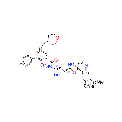 COc1cc2nccc(O/C(N)=C/C=C(\N)NC(=O)c3cn(CC4CCOCC4)cc(-c4ccc(C)cc4)c3=O)c2cc1OC